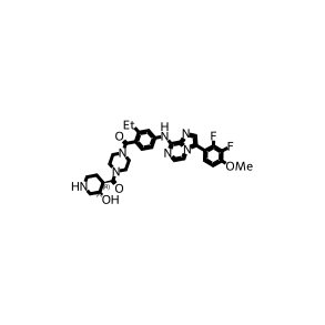 CCc1cc(Nc2nccn3c(-c4ccc(OC)c(F)c4F)cnc23)ccc1C(=O)N1CCN(C(=O)[C@@H]2CCNC[C@@H]2O)CC1